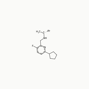 CC(C)[C@@H](C)NCc1nc(C2CCCC2)ccc1F